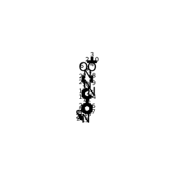 CC(C)(C)OC(=O)N1CCN(c2ccc(-c3ccc4ncsc4c3)cn2)CC1